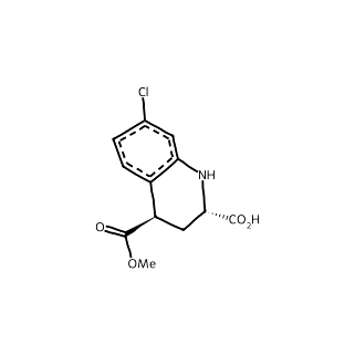 COC(=O)[C@@H]1C[C@@H](C(=O)O)Nc2cc(Cl)ccc21